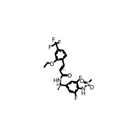 CCOc1cc(C(F)(F)F)ccc1/C=C/C(=O)N[C@H](C)c1cc(F)c(NS(C)(=O)=O)c(F)c1